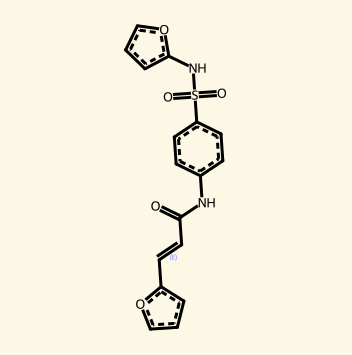 O=C(/C=C/c1ccco1)Nc1ccc(S(=O)(=O)Nc2ccco2)cc1